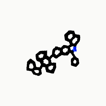 c1ccc(-c2nc3ccc4ccccc4c3c3cc4ccc(-c5c6ccccc6c(-c6cccc7ccccc67)c6ccccc56)cc4cc23)cc1